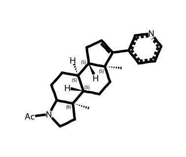 CC(=O)N1CC[C@@]2(C)C1CC[C@@H]1[C@@H]2CC[C@]2(C)C(c3cccnc3)=CC[C@@H]12